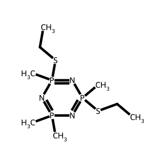 CCSP1(C)=NP(C)(C)=NP(C)(SCC)=N1